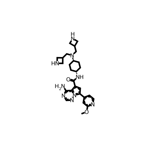 COc1cc(-c2cc(C(=O)N[C@H]3CC[C@H](N(CC4CNC4)CC4CNC4)CC3)c3c(N)ncnn23)ccn1